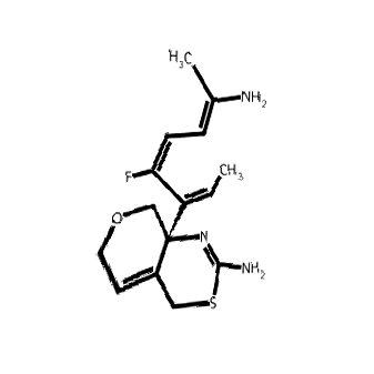 C\C=C(/C(F)=C\C=C(/C)N)[C@]12COCC=C1CSC(N)=N2